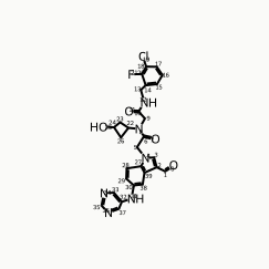 O=Cc1cn(CC(=O)N(CC(=O)NCc2cccc(Cl)c2F)C2CC(O)C2)c2ccc(Nc3cncnc3)cc12